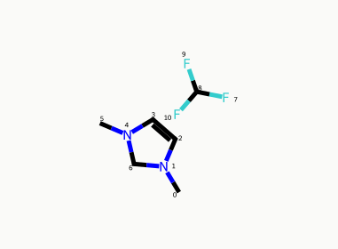 CN1C=CN(C)C1.FC(F)F